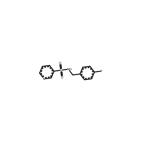 O=S(=O)(NCc1ccc(F)cc1)c1cccnc1